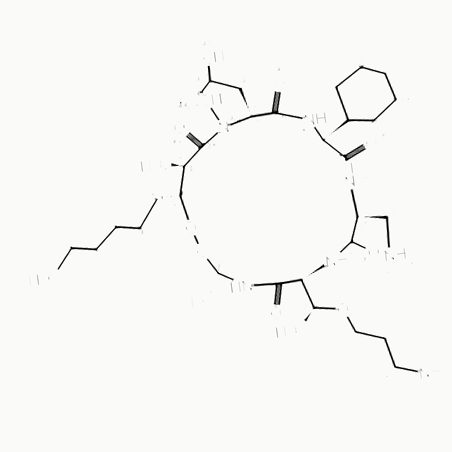 CCCCCC[C@H]1OC[C@@H](C)NC(=O)[C@H]([C@H](C)OCCCN)NC(O)[C@H](CN)NC(=O)[C@H](C2CCCCC2)NC(=O)[C@H](CC(C)C)N(C)C(=O)[C@@H]1C